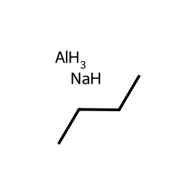 CCCC.[AlH3].[NaH]